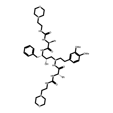 COc1ccc(CCN(C[C@H](O)[C@H](Cc2ccccc2)NC(=O)[C@@H](NC(=O)NCCN2CCOCC2)C(C)C)NC(=O)[C@@H](NC(=O)NCCN2CCOCC2)C(C)C)cc1OC